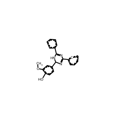 COc1cc(C2N=C(c3ccccc3)N=C(c3ccccc3)N2)ccc1O